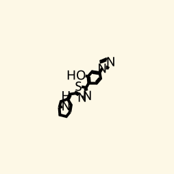 Oc1cc(-n2ccnc2)ccc1-c1nnc(C=C2CC3CCC(C2)N3)s1